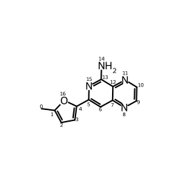 Cc1ccc(-c2cc3nccnc3c(N)n2)o1